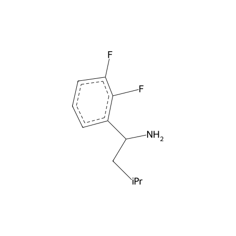 CC(C)CC(N)c1cccc(F)c1F